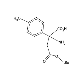 Cc1ccc(C(N)(CC(=O)OC(C)(C)C)C(=O)O)cc1